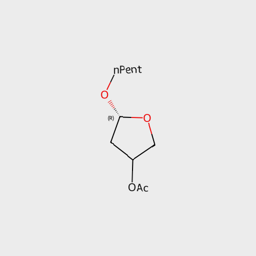 CCCCCO[C@H]1CC(OC(C)=O)CO1